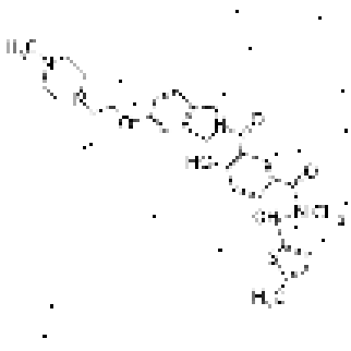 Cc1ccc(CN(C)C(=O)c2cc(C(=O)N3Cc4ccc(OCCN5CCN(C)CC5)cc4C3)c(O)cc2O)s1